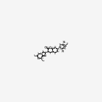 Cc1cn2cc(-c3cc4ccc(N5C[C@@H]6C[C@H]5CN6C)cc4oc3=O)nc2c(C)n1